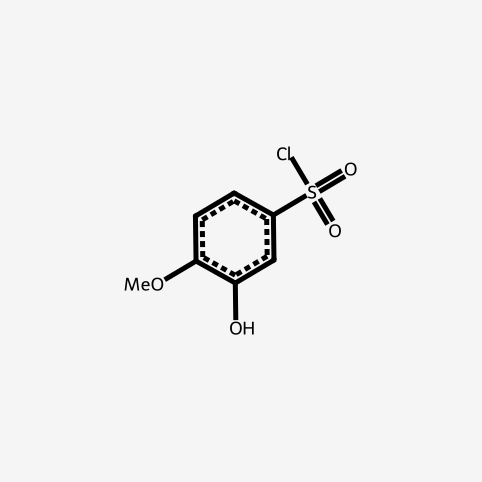 COc1ccc(S(=O)(=O)Cl)cc1O